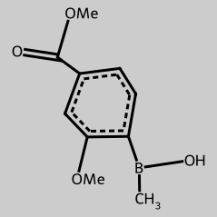 COC(=O)c1ccc(B(C)O)c(OC)c1